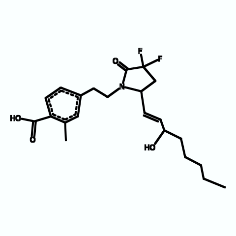 CCCCCC(O)C=CC1CC(F)(F)C(=O)N1CCc1ccc(C(=O)O)c(C)c1